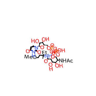 CCC(C)(CCOC)NC(=O)C1O[C@H](O[P@@](=O)(O)O[P@@](=O)(O)OC[C@H]2O[C@@H](n3ccc(=O)[nH]c3=O)[C@@H](O)C2O)C(NC(C)=O)C(O)[C@@H]1O